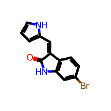 O=C1Nc2cc(Br)ccc2C1=Cc1ccc[nH]1